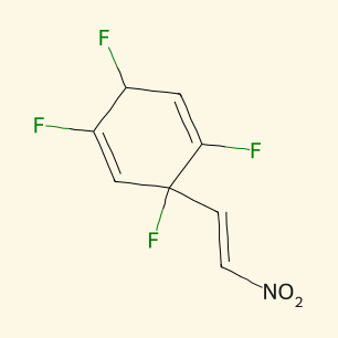 O=[N+]([O-])/C=C/C1(F)C=C(F)C(F)C=C1F